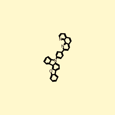 c1cnc2c(c1)ccc1ccc(-c3ccc(-n4c5ccccc5c5c6oc7ccccc7c6ccc54)cc3)nc12